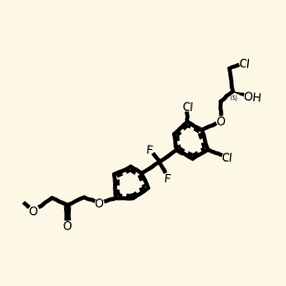 COCC(=O)COc1ccc(C(F)(F)c2cc(Cl)c(OC[C@H](O)CCl)c(Cl)c2)cc1